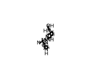 N#Cc1ncc(Nc2cc3cccc(NCCO)c3cn2)nc1O[C@@H]1CCNC1